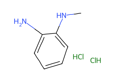 CNc1ccccc1N.Cl.Cl